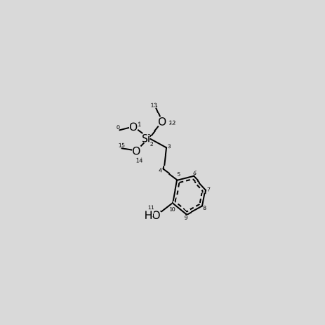 CO[Si](CCc1ccccc1O)(OC)OC